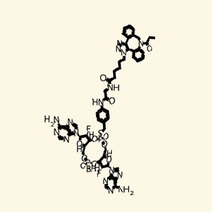 B[P@]1(=O)OC[C@H]2O[C@@H](n3cnc4c(N)ncnc43)[C@H](F)[C@@H]2O[P@](=O)(SCc2ccc(NC(=O)CNC(=O)CCCCCn3nnc4c3-c3ccccc3N(C(=O)CC)Cc3ccccc3-4)cc2)OC[C@H]2O[C@@H](n3cnc4c(N)ncnc43)[C@H](F)[C@@H]2O1